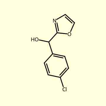 OC(c1ccc(Cl)cc1)c1ncco1